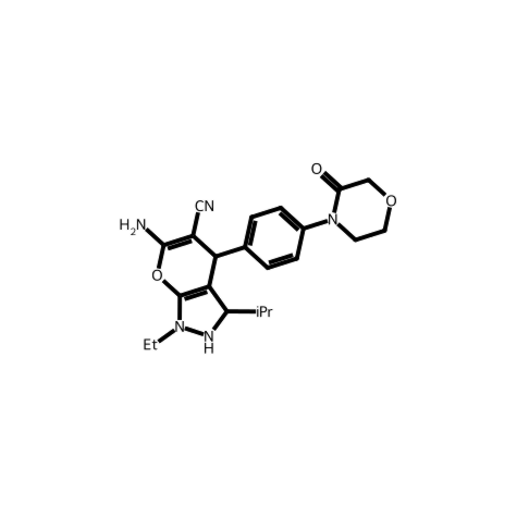 CCN1NC(C(C)C)C2=C1OC(N)=C(C#N)C2c1ccc(N2CCOCC2=O)cc1